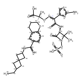 CC(O/N=C(\C(=O)N[C@@H]1C(=O)N(OS(=O)(=O)O)C1(C)C)c1csc(N)n1)(C(=O)O)[C@H]1CCc2cc(C(=N)NC3CC4(CC(CN)C4)C3)ccc2O1